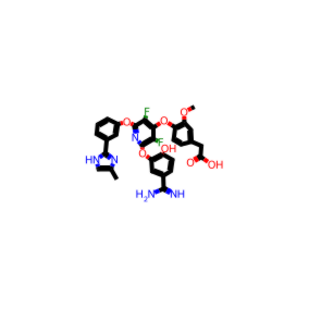 COc1cc(CC(=O)O)ccc1Oc1c(F)c(Oc2cccc(-c3nc(C)c[nH]3)c2)nc(Oc2cc(C(=N)N)ccc2O)c1F